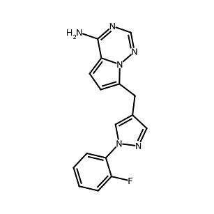 Nc1ncnn2c(Cc3cnn(-c4ccccc4F)c3)ccc12